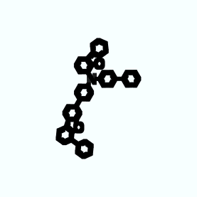 c1ccc(-c2ccc(N(c3ccc(-c4ccc5c(c4)oc4c(-c6ccccc6)cccc45)cc3)c3cccc4c3oc3ccccc34)cc2)cc1